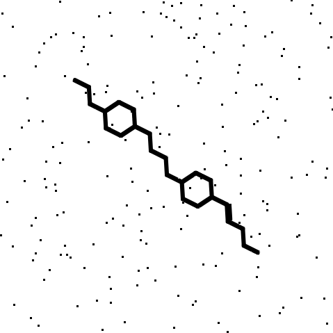 CCC/C=C/C1CCC(CCCCC2CCC(CCC)CC2)CC1